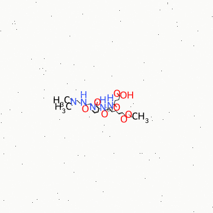 CCOC(=O)C=CCC[C@H](NC(=O)CCC(=O)O)C(=O)Nc1cccn(CC(=O)NCCN(CC)CC)c1=O